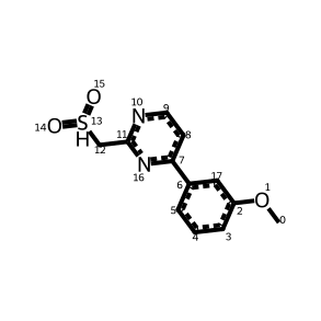 COc1cccc(-c2ccnc(C[SH](=O)=O)n2)c1